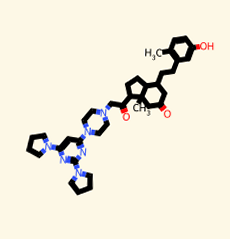 Cc1ccc(O)cc1CCC1CC(=O)CC2(C)C(C(=O)CN3CCN(c4cc(N5CCCC5)nc(N5CCCC5)n4)CC3)CCC12